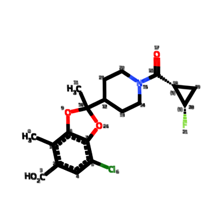 Cc1c(C(=O)O)cc(Cl)c2c1OC(C)(C1CCN(C(=O)[C@@H]3C[C@@H]3F)CC1)O2